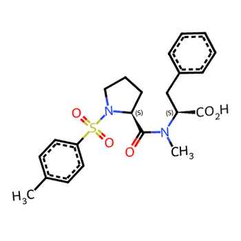 Cc1ccc(S(=O)(=O)N2CCC[C@H]2C(=O)N(C)[C@@H](Cc2ccccc2)C(=O)O)cc1